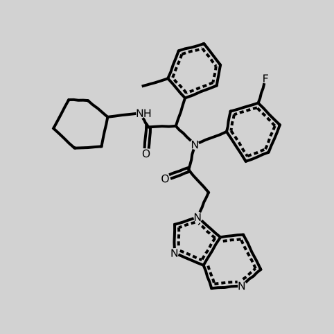 Cc1ccccc1C(C(=O)NC1CCCCC1)N(C(=O)Cn1cnc2cnccc21)c1cccc(F)c1